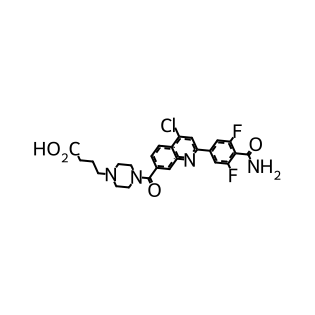 NC(=O)c1c(F)cc(-c2cc(Cl)c3ccc(C(=O)N4CCN(CCCC(=O)O)CC4)cc3n2)cc1F